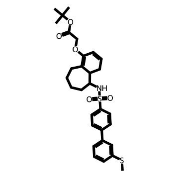 CSc1cccc(-c2ccc(S(=O)(=O)NC3CCCCC4=C(OCC(=O)OC(C)(C)C)C=CCC43)cc2)c1